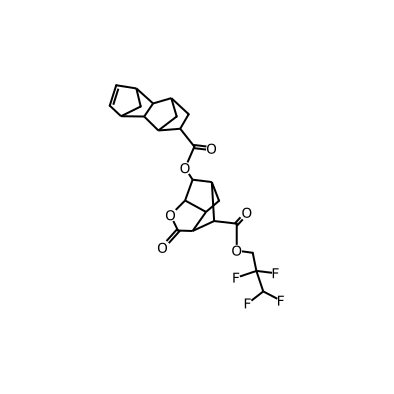 O=C(OC1C2CC3C1OC(=O)C3C2C(=O)OCC(F)(F)C(F)F)C1CC2CC1C1C3C=CC(C3)C21